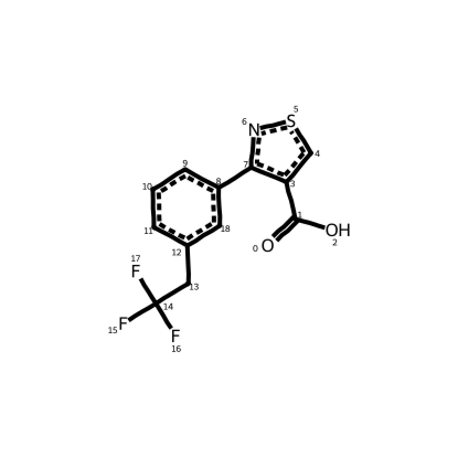 O=C(O)c1csnc1-c1cccc(CC(F)(F)F)c1